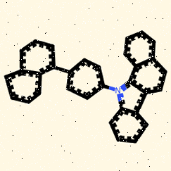 c1ccc2c(-c3ccc(-n4c5ccccc5c5ccc6ccccc6c54)cc3)cccc2c1